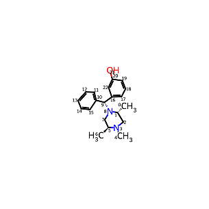 C[C@@H]1CN(C)[C@@H](C)CN1[C@H](c1ccccc1)c1cccc(O)c1